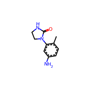 Cc1ccc(N)cc1N1CCNC1=O